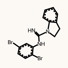 N=C(Nc1cc(Br)ccc1Br)N1CCc2ccccc21